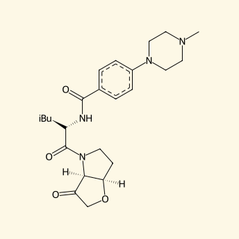 CC[C@H](C)[C@H](NC(=O)c1ccc(N2CCN(C)CC2)cc1)C(=O)N1CC[C@H]2OCC(=O)[C@H]21